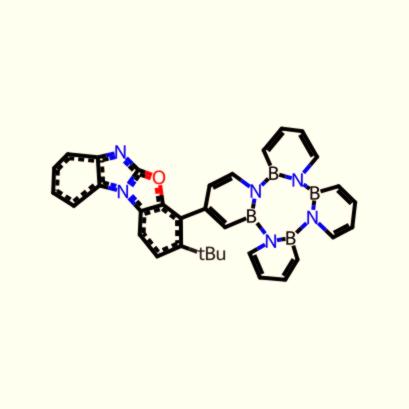 CC(C)(C)c1ccc2c(oc3nc4ccccc4n32)c1C1=CB2N3C=CC=CB3N3C=CC=CB3N3C=CC=CB3N2C=C1